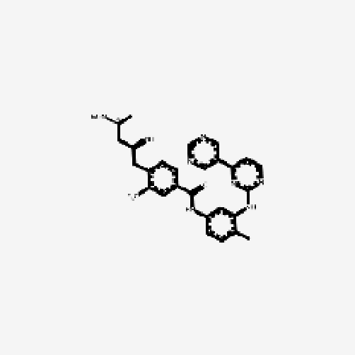 CN[C@@H](C)CC(=N)Cc1ccc(C(=O)Nc2ccc(C)c(Nc3nccc(-c4cncnc4)n3)c2)cc1C(F)(F)F